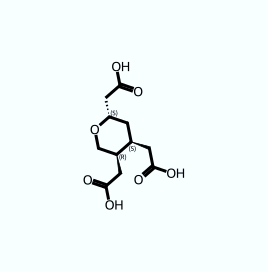 O=C(O)C[C@@H]1C[C@@H](CC(=O)O)[C@@H](CC(=O)O)CO1